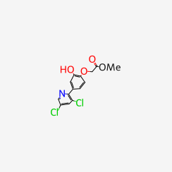 COC(=O)COc1ccc(-c2ncc(Cl)cc2Cl)cc1O